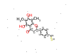 Cc1c(O)c(C)c2c(c1O)C(=O)CC(c1ccc(C=S)cc1)O2